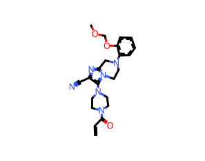 C=CC(=O)N1CCN(c2c(C#N)nc3n2CCN(c2ccccc2OCOC)C3)CC1